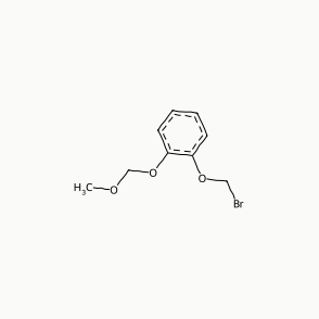 COCOc1ccccc1OCBr